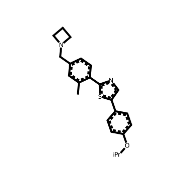 Cc1cc(CN2CCC2)ccc1-c1ncc(-c2ccc(OC(C)C)cc2)s1